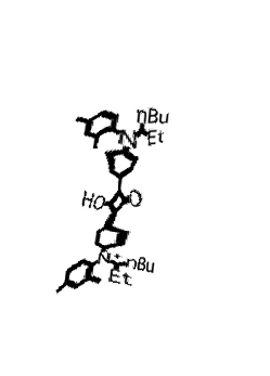 CCCCC(CC)N(c1ccc(C2=C(O)C(=C3C=CC(=[N+](c4ccc(C)cc4C)C(CC)CCCC)C=C3)C2=O)cc1)c1ccc(C)cc1C